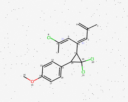 C=C(C)/C=C(\C=C(/C)Cl)C1C(c2ccc(OC)cc2)C1(Cl)Cl